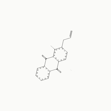 C=CCc1ccc2c(c1O)C(=O)c1ccccc1C2=O.N